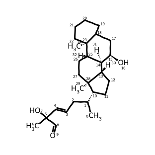 CC(CC=CC(C)(O)C=O)[C@H]1CC[C@H]2[C@@H]3[C@H](O)CC4CCCC[C@]4(C)[C@H]3CC[C@]12C